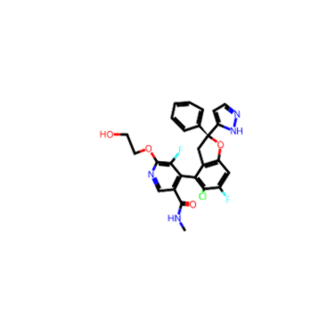 CNC(=O)c1cnc(OCCO)c(F)c1-c1c(Cl)c(F)cc2c1C[C@](c1ccccc1)(c1ccn[nH]1)O2